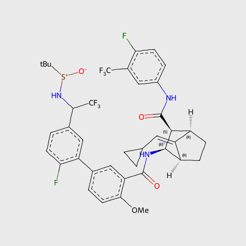 COc1ccc(-c2cc(C(N[S+]([O-])C(C)(C)C)C(F)(F)F)ccc2F)cc1C(=O)N[C@H]1[C@@H](C(=O)Nc2ccc(F)c(C(F)(F)F)c2)[C@H]2CC[C@@H]1/C2=C\C1CC1